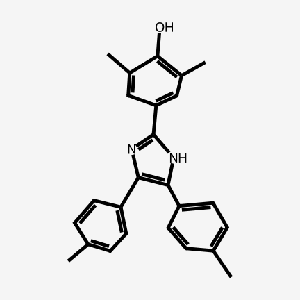 Cc1ccc(-c2nc(-c3cc(C)c(O)c(C)c3)[nH]c2-c2ccc(C)cc2)cc1